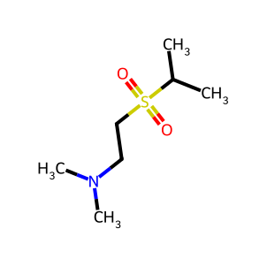 CC(C)S(=O)(=O)CCN(C)C